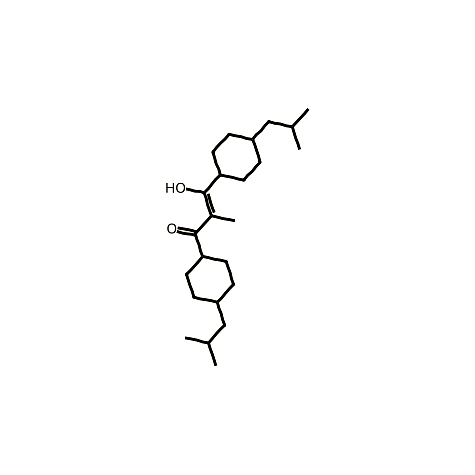 C/C(C(=O)C1CCC(CC(C)C)CC1)=C(/O)C1CCC(CC(C)C)CC1